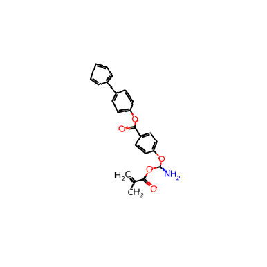 C=C(C)C(=O)OC(N)Oc1ccc(C(=O)Oc2ccc(-c3ccccc3)cc2)cc1